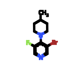 CC1CCN(c2c(F)cncc2Br)CC1